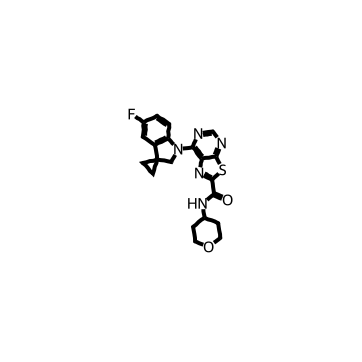 O=C(NC1CCOCC1)c1nc2c(N3CC4(CC4)c4cc(F)ccc43)ncnc2s1